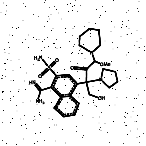 COC(C(=O)C(CO)(c1cc(S(N)(=O)=O)c(C(=N)N)c2ccccc12)N1CCCC1)N1CCCCC1